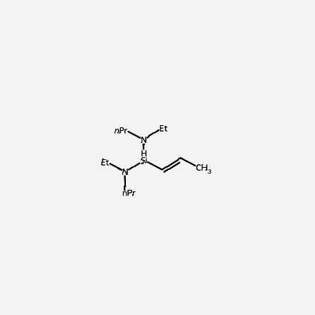 CC=C[SiH](N(CC)CCC)N(CC)CCC